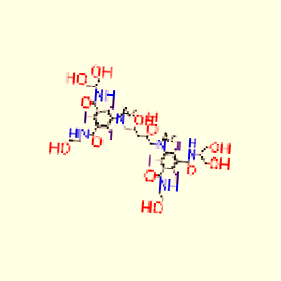 CC(=O)N(CC(O)CC(O)CN(C(C)=O)c1c(I)c(C(=O)NCCO)c(I)c(C(=O)NC(CO)CO)c1I)c1c(I)c(C(=O)NCCO)c(I)c(C(=O)NC(CO)CO)c1I